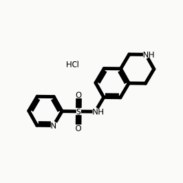 Cl.O=S(=O)(Nc1ccc2c(c1)CCNC2)c1ccccn1